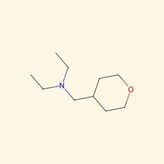 CCN(CC)CC1CCOCC1